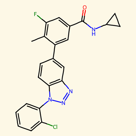 Cc1c(F)cc(C(=O)NC2CC2)cc1-c1ccc2c(c1)nnn2-c1ccccc1Cl